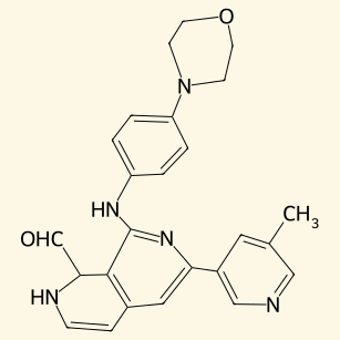 Cc1cncc(-c2cc3c(c(Nc4ccc(N5CCOCC5)cc4)n2)C(C=O)NC=C3)c1